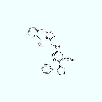 CC(=O)O[C@H](CC(=O)NCc1nc(Cc2ccccc2CO)cs1)C(=O)N1CCCC1c1ccccc1